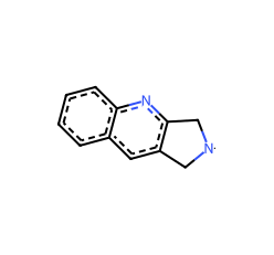 c1ccc2nc3c(cc2c1)C[N]C3